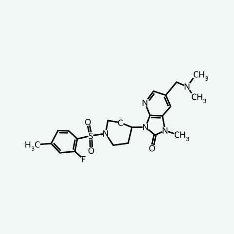 Cc1ccc(S(=O)(=O)N2CCC(n3c(=O)n(C)c4cc(CN(C)C)cnc43)CC2)c(F)c1